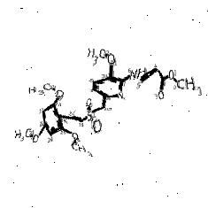 COC(=O)C=CNc1nc(CS(=O)(=O)C=Cc2c(OC)cc(OC)cc2OC)ccc1OC